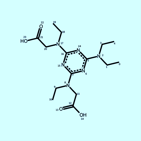 CCN(CC)c1nc(N(CC)CC(=O)O)nc(N(CC)CC(=O)O)n1